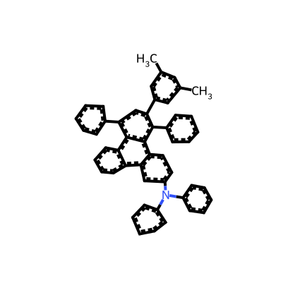 Cc1cc(C)cc(-c2cc(-c3ccccc3)c3c4ccccc4c4cc(N(c5ccccc5)c5ccccc5)ccc4c3c2-c2ccccc2)c1